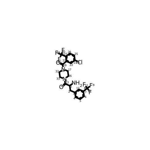 NC(Cc1cccc(C(F)(F)F)c1)C(=O)N1CCN(C(=O)c2cc(Cl)ccc2C(F)(F)F)CC1